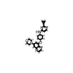 c1cc(N[C@H]2CC[C@@H](Oc3cc(N4CCOCC4)cc4nccnc34)CC2)nc(C2CC2)n1